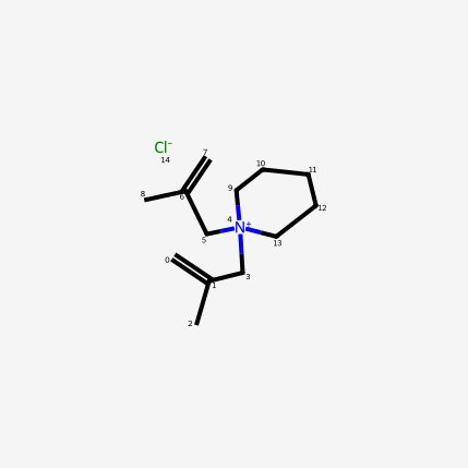 C=C(C)C[N+]1(CC(=C)C)CCCCC1.[Cl-]